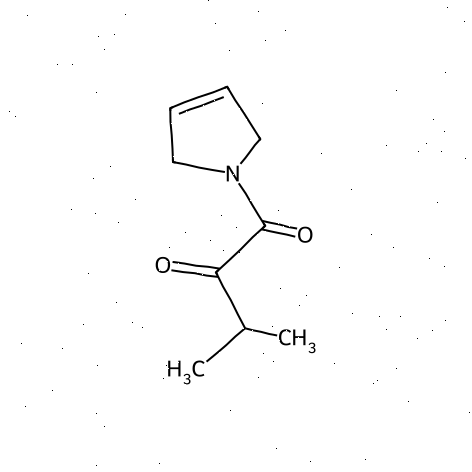 CC(C)C(=O)C(=O)N1CC=CC1